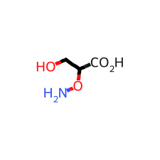 NOC(CO)C(=O)O